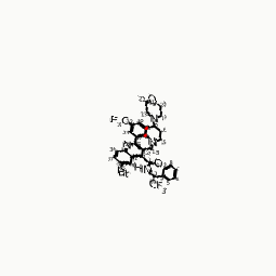 O=C(N[C@H](c1ccccc1)C(F)(F)F)c1c(CN2CCC(N3CCOCC3)CC2)c(-c2cccc(C(F)(F)F)c2)nc2ccc(Br)cc12